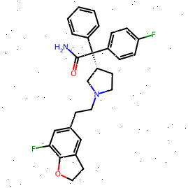 NC(=O)C(c1ccccc1)(c1ccc(F)cc1)[C@@H]1CCN(CCc2cc(F)c3c(c2)CCO3)C1